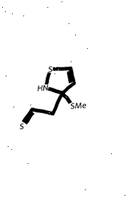 CSC1(C[C]=S)C=CSN1